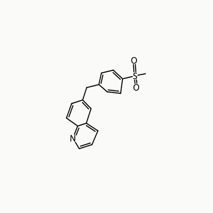 CS(=O)(=O)c1ccc(Cc2ccc3ncccc3c2)cc1